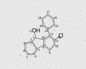 OC1c2ccccc2-c2ccc(Cl)c(-c3ccccc3)c21